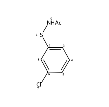 CC(=O)NSc1cccc(Cl)c1